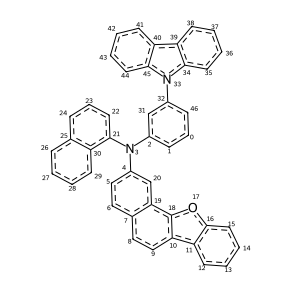 c1cc(N(c2ccc3ccc4c5ccccc5oc4c3c2)c2cccc3ccccc23)cc(-n2c3ccccc3c3ccccc32)c1